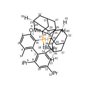 COc1ccc(C)c(-c2c(C(C)C)cc(C(C)C)cc2C(C)C)c1[PH](C(C)(C)C)(C12CC3C[C@H](C1)C[C@@H](C3)C2)C12CC3C[C@H](C1)C[C@@H](C3)C2